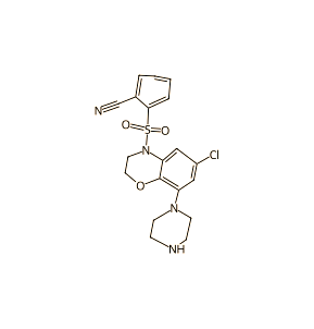 N#Cc1ccccc1S(=O)(=O)N1CCOc2c(N3CCNCC3)cc(Cl)cc21